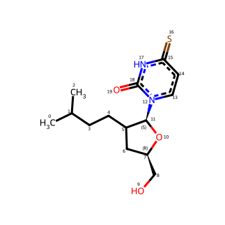 CC(C)CCC1C[C@H](CO)O[C@@H]1n1ccc(=S)[nH]c1=O